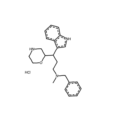 CN(CCC(c1c[nH]c2ccccc12)C1CNCCO1)Cc1ccccc1.Cl